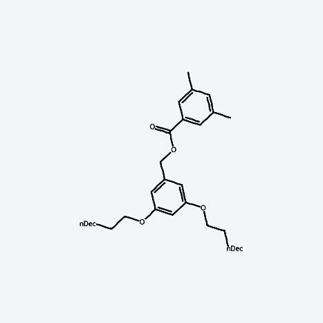 CCCCCCCCCCCCOc1cc(COC(=O)c2cc(C)cc(C)c2)cc(OCCCCCCCCCCCC)c1